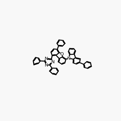 c1ccc(-c2ccc3c(c2)c2ccccc2n3-c2cccc3c2oc2c(-c4ccccc4)ccc(-c4nc(-c5ccccc5)nc(-c5ccccc5)n4)c23)cc1